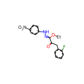 CCOC(=NNc1ccc([N+](=O)[O-])cc1)C(=O)Cc1ccccc1F